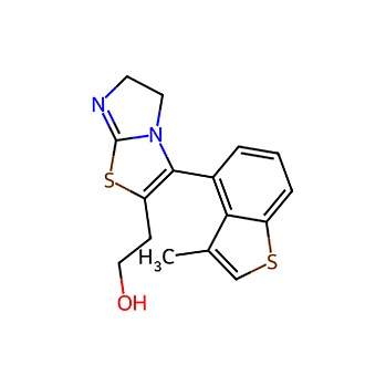 Cc1csc2cccc(C3=C(CCO)SC4=NCCN43)c12